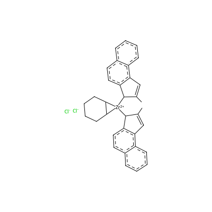 CC1=Cc2c(ccc3ccccc23)[CH]1[Zr+2]1([CH]2C(C)=Cc3c2ccc2ccccc32)[CH]2CCCC[CH]21.[Cl-].[Cl-]